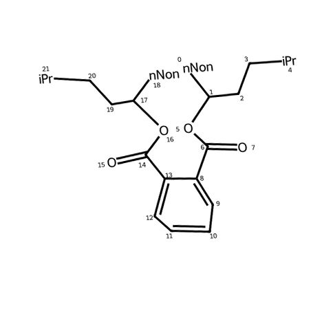 CCCCCCCCCC(CCC(C)C)OC(=O)c1ccccc1C(=O)OC(CCCCCCCCC)CCC(C)C